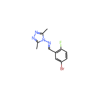 Cc1nnc(C)n1N=Cc1cc(Br)ccc1F